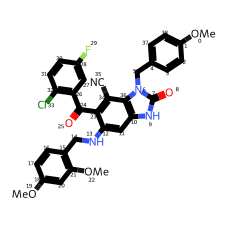 COc1ccc(Cn2c(=O)[nH]c3cc(NCc4ccc(OC)cc4OC)c(C(=O)c4cc(F)ccc4Cl)c(C#N)c32)cc1